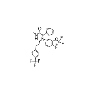 CNC(=O)[C@@H](c1ccccc1)N(CCCc1ccc(C(F)(F)F)cc1)c1ccc(F)c(OC(F)(F)F)c1